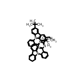 CCc1ccc2c(c1)c1cc(C(C)(C)C)ccc1n2-c1ccccc1-c1nc(-c2ccccc2-n2c3c(c4ccccc42)=CCCC=3)nc(C(C)(C)C)n1